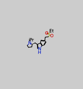 CCS(=O)(=O)CCc1ccc2[nH]cc(C[C@H]3CCCN3C(C)C)c2c1